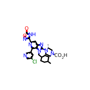 CC1CCC(Cn2c(N3[C@H](C)CN(C(=O)O)C[C@H]3C)nc3cc(-c4noc(=O)[nH]4)nc(-c4cncc(Cl)c4)c32)CC1